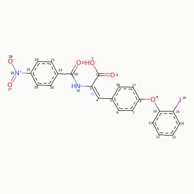 O=C(O)/C(=C\c1ccc(Oc2ccccc2I)cc1)NC(=O)c1ccc([N+](=O)[O-])cc1